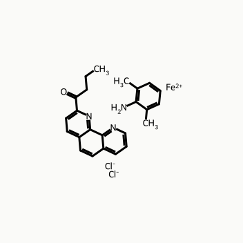 CCCC(=O)c1ccc2ccc3cccnc3c2n1.Cc1cccc(C)c1N.[Cl-].[Cl-].[Fe+2]